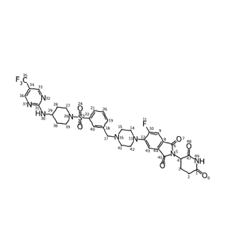 O=C1CCC(N2C(=O)c3cc(F)c(N4CCN(Cc5cccc(S(=O)(=O)N6CCC(Nc7ncc(C(F)(F)F)cn7)CC6)c5)CC4)cc3C2=O)C(=O)N1